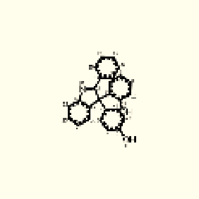 Oc1ccc(C2(c3ccccc3O)C(c3ccccc3)=Nc3ccccc32)cc1